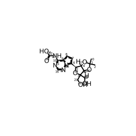 CC1(C)O[C@H]2[C@H](c3ccc4c(NC(=O)O)ncnn34)OC(CO)(CO)[C@H]2O1